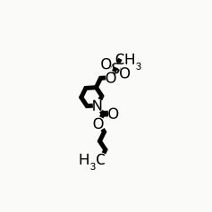 CCCCOC(=O)N1CCCC(COS(C)(=O)=O)C1